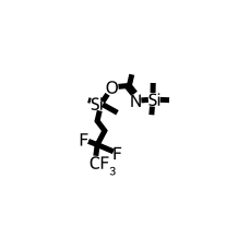 CC(=N[Si](C)(C)C)O[Si](C)(C)CCC(F)(F)C(F)(F)F